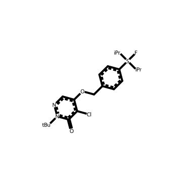 CC(C)S(F)(c1ccc(COc2cnn(C(C)(C)C)c(=O)c2Cl)cc1)C(C)C